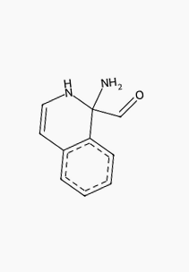 NC1(C=O)NC=Cc2ccccc21